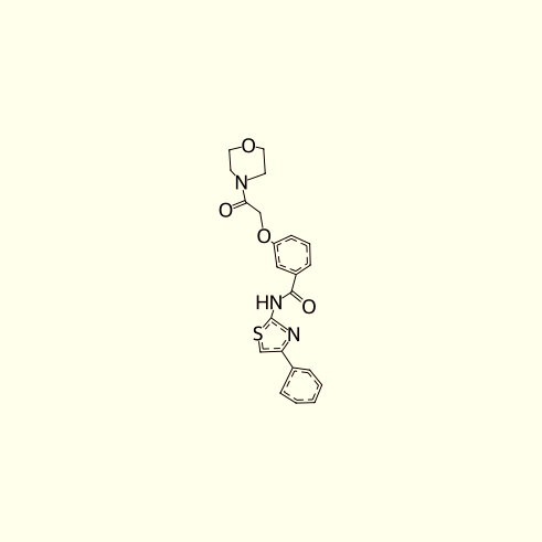 O=C(Nc1nc(-c2ccccc2)cs1)c1cccc(OCC(=O)N2CCOCC2)c1